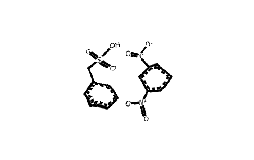 O=S(=O)(O)Cc1ccccc1.O=[N+]([O-])c1cccc([N+](=O)[O-])c1